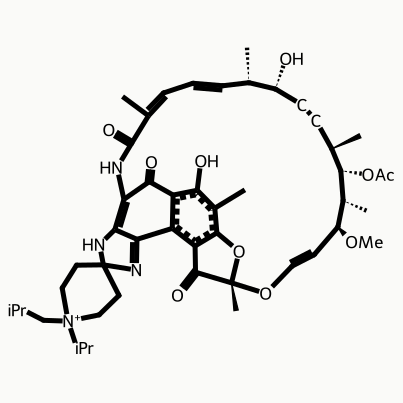 CO[C@H]1/C=C/O[C@@]2(C)Oc3c(C)c(O)c4c(c3C2=O)C2=NC3(CC[N+](CC(C)C)(C(C)C)CC3)NC2=C(NC(=O)/C(C)=C\C=C\[C@H](C)[C@H](O)CC[C@@H](C)[C@H](OC(C)=O)[C@@H]1C)C4=O